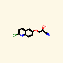 N#CC(O)COc1ccc2nc(Cl)ccc2c1